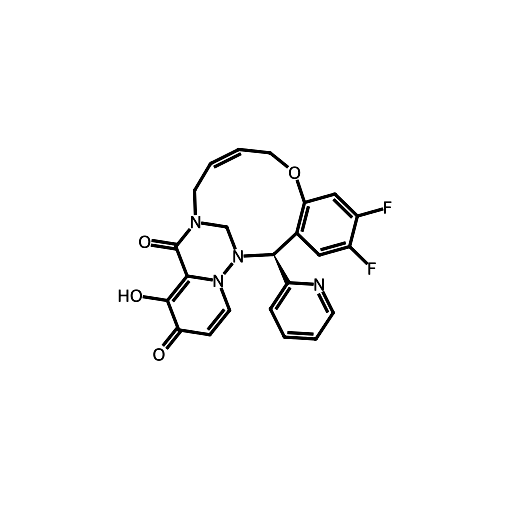 O=C1c2c(O)c(=O)ccn2N2CN1C/C=C\COc1cc(F)c(F)cc1[C@H]2c1ccccn1